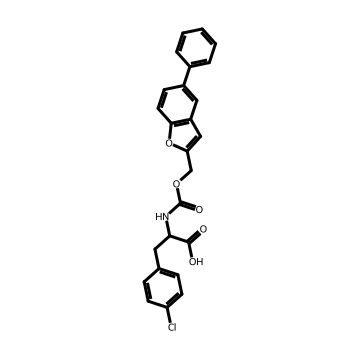 O=C(NC(Cc1ccc(Cl)cc1)C(=O)O)OCc1cc2cc(-c3ccccc3)ccc2o1